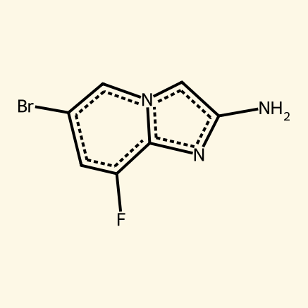 Nc1cn2cc(Br)cc(F)c2n1